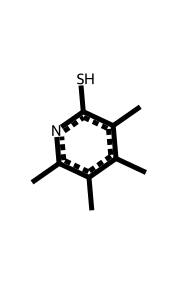 Cc1nc(S)c(C)c(C)c1C